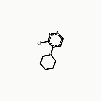 Clc1nnccc1N1CCCCC1